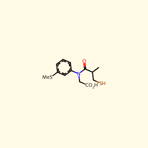 CSc1cccc(N(CC(=O)O)C(=O)C(C)CS)c1